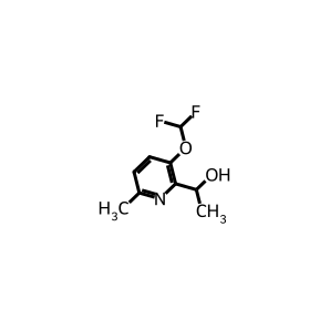 Cc1ccc(OC(F)F)c(C(C)O)n1